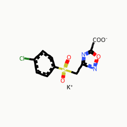 O=C([O-])c1nc(CS(=O)(=O)c2ccc(Cl)cc2)no1.[K+]